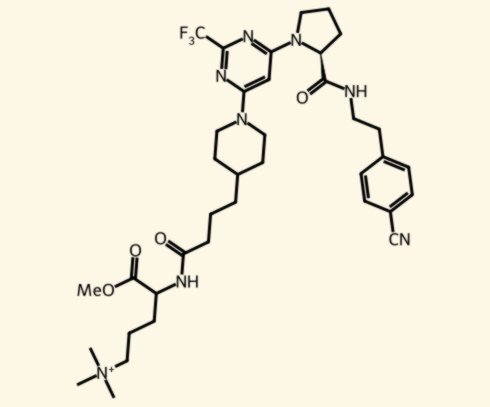 COC(=O)C(CCC[N+](C)(C)C)NC(=O)CCCC1CCN(c2cc(N3CCC[C@H]3C(=O)NCCc3ccc(C#N)cc3)nc(C(F)(F)F)n2)CC1